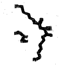 CC(C)CCCCCOC(=O)CC(O)C(=O)OCCCCCC(C)C.CCC[CH2][Sn][CH2]CCC